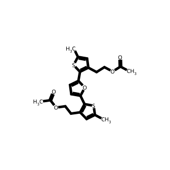 CC(=O)OCCc1cc(C)sc1-c1ccc(-c2sc(C)cc2CCOC(C)=O)o1